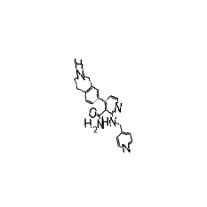 NC(=O)c1c(-c2ccc3c(c2)CNCC3)ccnc1NCc1ccncc1